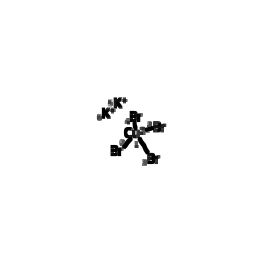 [Br][Cu-2]([Br])([Br])[Br].[K+].[K+]